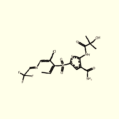 C\C=C(/C(Cl)=C\N=C\C(F)(F)F)S(=O)(=O)c1cc(C(N)=O)c(NC(=O)C(C)(C)O)s1